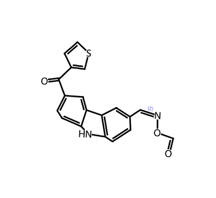 O=CO/N=C\c1ccc2[nH]c3ccc(C(=O)c4ccsc4)cc3c2c1